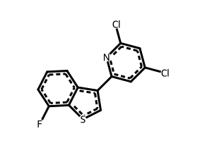 Fc1cccc2c(-c3cc(Cl)cc(Cl)n3)csc12